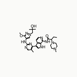 CCC(C(=O)Nc1nccc2c(-c3nc(Nc4cn(CC(C)(C)O)nc4OC)ncc3C)c[nH]c12)N1CCN(C)CC1